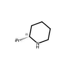 CC(C)[C@@H]1CCCCN1